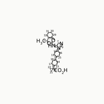 C[C@@H](OC(=O)Nc1cncn1-c1ccc(-c2ccc(C3(C(=O)O)CC3)cc2)cc1)c1ccccc1